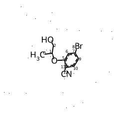 CC(CO)Oc1cc(Br)ccc1C#N